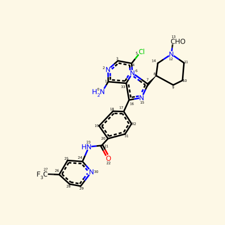 Nc1ncc(Cl)n2c([C@@H]3CCCN(C=O)C3)nc(-c3ccc(C(=O)Nc4cc(C(F)(F)F)ccn4)cc3)c12